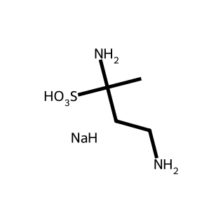 CC(N)(CCN)S(=O)(=O)O.[NaH]